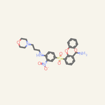 NC(=O)c1cccc(S(=O)(=O)c2ccc(NCCCN3CCOCC3)c([N+](=O)[O-])c2)c1Oc1ccccc1